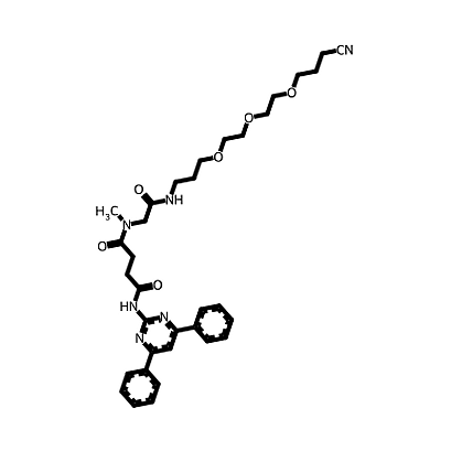 CN(CC(=O)NCCCOCCOCCOCCCC#N)C(=O)CCC(=O)Nc1nc(-c2ccccc2)cc(-c2ccccc2)n1